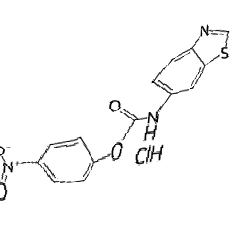 Cl.O=C(Nc1ccc2ncsc2c1)Oc1ccc([N+](=O)[O-])cc1